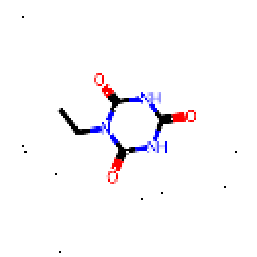 CCn1c(=O)[nH]c(=O)[nH]c1=O